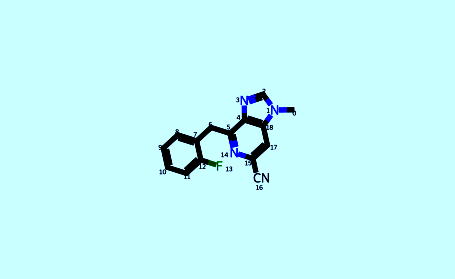 Cn1cnc2c(Cc3ccccc3F)nc(C#N)cc21